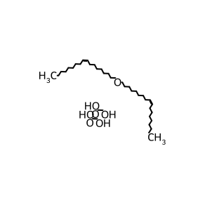 CCCCCCCC/C=C\CCCCCCCCOCCCCCCCC/C=C\CCCCCCCC.O=C(O)CO.O=C(O)CO